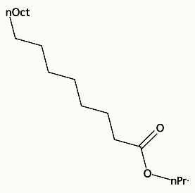 CC[CH]OC(=O)CCCCCCCCCCCCCCC